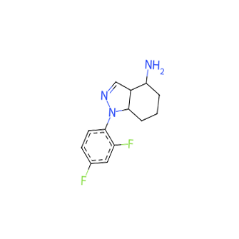 NC1CCCC2C1C=NN2c1ccc(F)cc1F